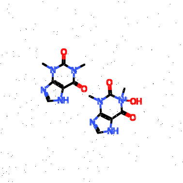 CN1C(=O)[N+](C)(O)C(=O)c2[nH]cnc21.Cn1c(=O)c2[nH]cnc2n(C)c1=O